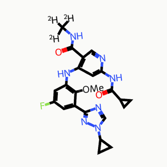 [2H]C([2H])([2H])NC(=O)c1cnc(NC(=O)C2CC2)cc1Nc1cc(F)cc(-c2ncn(C3CC3)n2)c1OC